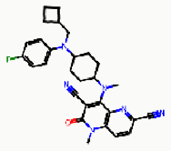 CN(c1c(C#N)c(=O)n(C)c2ccc(C#N)nc12)C1CCC(N(CC2CCC2)c2ccc(F)cc2)CC1